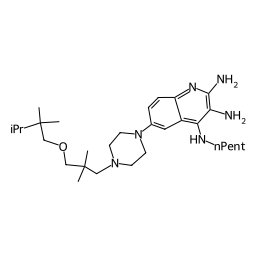 CCCCCNc1c(N)c(N)nc2ccc(N3CCN(CC(C)(C)COCC(C)(C)C(C)C)CC3)cc12